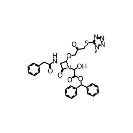 Cn1nnnc1SCC(=O)CO[C@@H]1[C@@H](NC(=O)Cc2ccccc2)C(=O)N1C(O)C(=O)OC(c1ccccc1)c1ccccc1